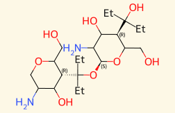 CCC(O)(CC)[C@H]1C(CO)O[C@@H](OC(CC)(CC)[C@H]2C(CO)OCC(N)C2O)C(N)C1O